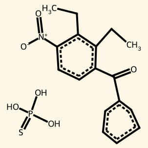 CCc1c(C(=O)c2ccccc2)ccc([N+](=O)[O-])c1CC.OP(O)(O)=S